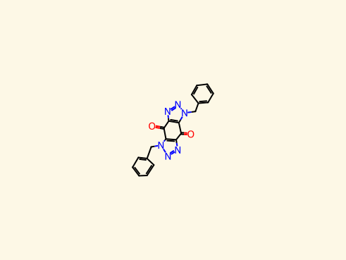 O=C1c2nnn(Cc3ccccc3)c2C(=O)c2nnn(Cc3ccccc3)c21